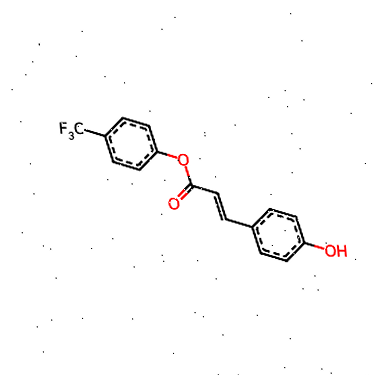 O=C(/C=C/c1ccc(O)cc1)Oc1ccc(C(F)(F)F)cc1